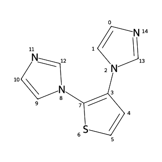 c1cn(-c2ccsc2-n2ccnc2)cn1